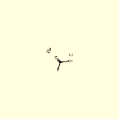 CC(=O)O.Cl.[Cd].[Cd]